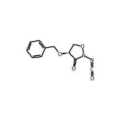 O=C=NN1OC[C@H](OCc2ccccc2)C1=O